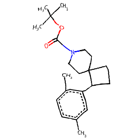 Cc1ccc(C)c(C2CCC23CCN(C(=O)OC(C)(C)C)CC3)c1